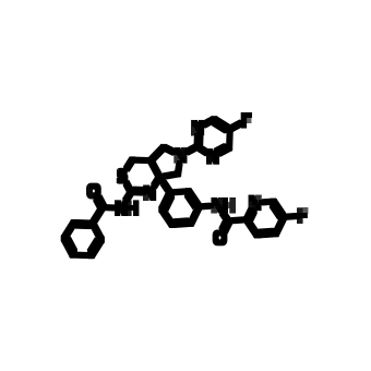 O=C(NC1=NC2(c3cccc(NC(=O)c4ccc(F)cn4)c3)CN(c3ncc(F)cn3)CC2CS1)c1ccccc1